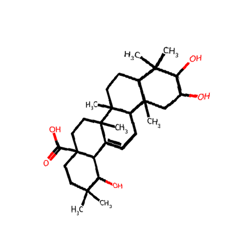 CC1(C)CCC2(C(=O)O)CCC3(C)C(=CCC4C5(C)CC(O)C(O)C(C)(C)C5CCC43C)C2C1O